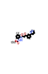 CC(C)(C)OC(=O)Nc1ccc(C(F)(F)F)cc1NC(=O)CC(=O)c1cccc(-c2cccnn2)c1